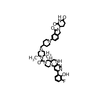 C[C@@H]1CN(CC2CCN(c3ccc4c(c3)C(=O)N([C@@H]3CCC(=O)NC3=O)C4)CC2)C[C@H](C)N1C(=O)N1CCN2c3cc(-c4cccc(F)c4O)nnc3NC[C@@H]2C1